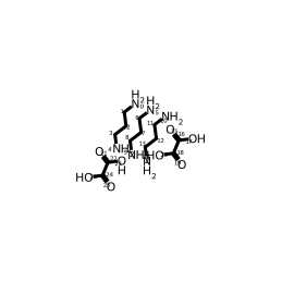 NCCCN.NCCCN.NCCCN.O=C(O)C(=O)O.O=C(O)C(=O)O